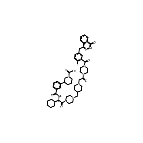 CC(=O)N1CCCC(c2cccc(C(=O)N[C@@H](C(=O)N3CCN(CC4CCN(CC(=O)N5CCN(C(=O)c6cc(Cc7n[nH]c(=O)c8ccccc78)ccc6F)CC5)CC4)CC3)C3CCCCC3)c2)C1